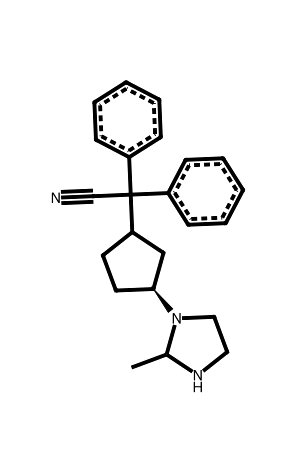 CC1NCCN1[C@H]1CCC(C(C#N)(c2ccccc2)c2ccccc2)C1